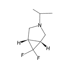 CC(C)N1C[C@@H]2[C@H](C1)C2(F)F